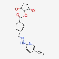 Cc1ccc(N/N=C/c2ccc(C(=O)OC3C(=O)CCC3=O)cc2)nc1